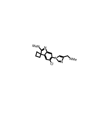 CNCc1cn(-c2cc3c(cc2Cl)C2(CCC2)C(NC)=N3)cn1